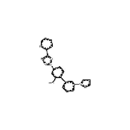 COc1cc(-n2nnc(-c3ccccn3)n2)ccc1-c1cccc(-n2cccn2)c1